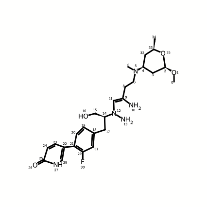 CO[C@H]1C[C@@H](N(C)CC/C(N)=C/N(N)[C@H](CO)Cc2ccc(-c3ccc(=O)[nH]c3)c(F)c2)C[C@@H](C)O1